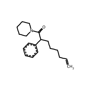 C=CCCCCC(C(=O)N1CCCCC1)c1ccccc1